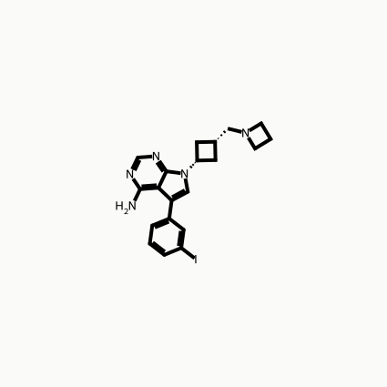 Nc1ncnc2c1c(-c1cccc(I)c1)cn2[C@H]1C[C@@H](CN2CCC2)C1